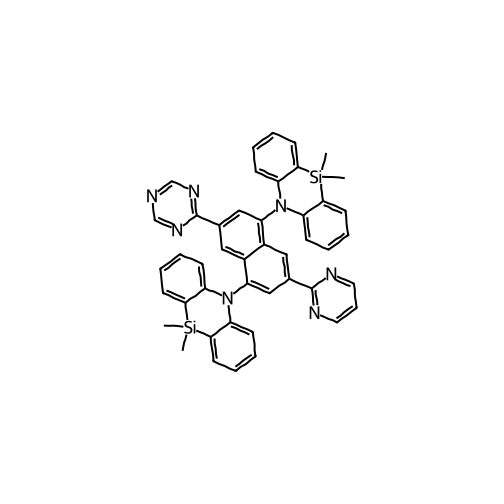 C[Si]1(C)c2ccccc2N(c2cc(-c3ncncn3)cc3c(N4c5ccccc5[Si](C)(C)c5ccccc54)cc(-c4ncccn4)cc23)c2ccccc21